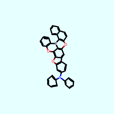 c1ccc(N(c2ccccc2)c2ccc3c(c2)oc2c4c5c(cc23)Oc2ccc3ccccc3c2B5c2c(ccc3ccccc23)O4)cc1